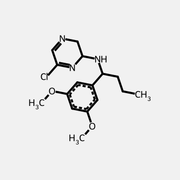 CCCC(NC1CN=CC(Cl)=N1)c1cc(OC)cc(OC)c1